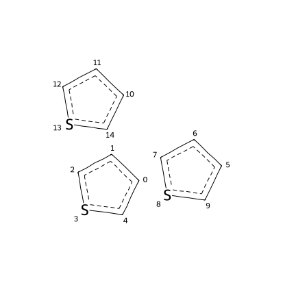 c1ccsc1.c1ccsc1.c1ccsc1